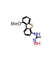 COc1cccc2sc3c(NC(C)=NO)cccc3c12